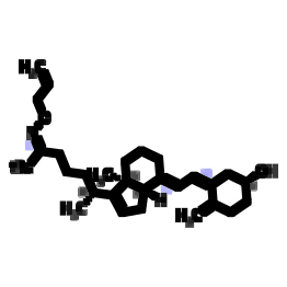 C=CCO/N=C(\CCC[C@@H](C)C1=CC[C@H]2/C(=C/C=C3/C[C@@H](O)CCC3=C)CCC[C@]12C)C(C)(C)C